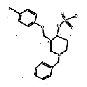 CCS(=O)(=O)N[C@H]1CCN(Cc2ccccc2)C[C@H]1COc1ccc(C(C)C)cc1